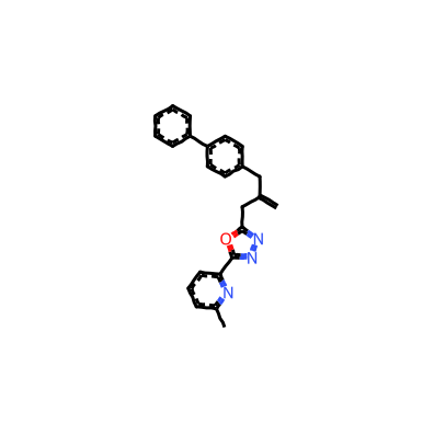 C=C(Cc1ccc(-c2ccccc2)cc1)Cc1nnc(-c2cccc(C)n2)o1